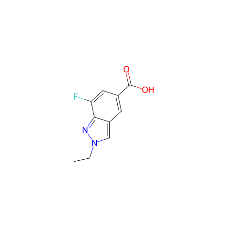 CCn1cc2cc(C(=O)O)cc(F)c2n1